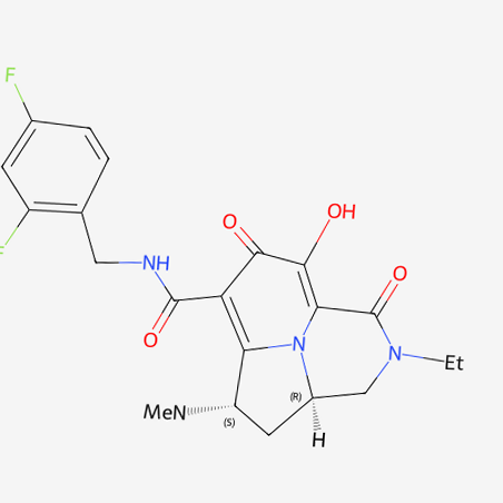 CCN1C[C@H]2C[C@H](NC)c3c(C(=O)NCc4ccc(F)cc4F)c(=O)c(O)c(n32)C1=O